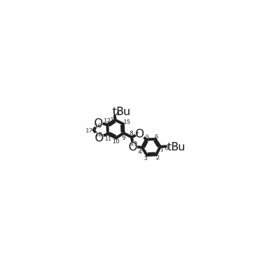 CC(C)(C)c1ccc2c(c1)OC(c1cc3c(c(C(C)(C)C)c1)OCO3)O2